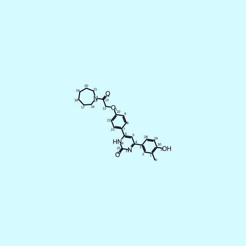 Cc1cc(-c2cc(-c3ccc(OCC(=O)N4CCCCCC4)cc3)[nH]c(=O)n2)ccc1O